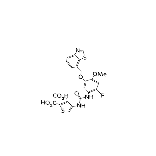 COc1cc(F)c(NC(=O)Nc2csc(C(=O)O)c2C(=O)O)cc1OCc1cccc2ncsc12